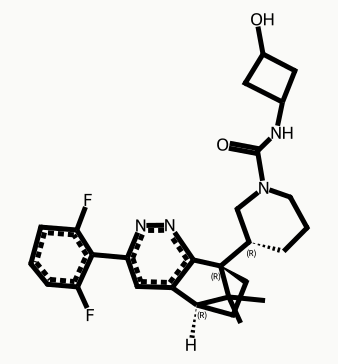 CC1(C)[C@H]2CC[C@]1([C@H]1CCCN(C(=O)NC3CC(O)C3)C1)c1nnc(-c3c(F)cccc3F)cc12